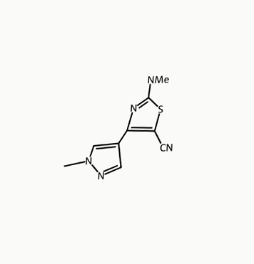 CNc1nc(-c2cnn(C)c2)c(C#N)s1